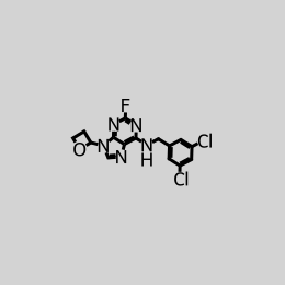 Fc1nc(NCc2cc(Cl)cc(Cl)c2)c2ncn(C3CCO3)c2n1